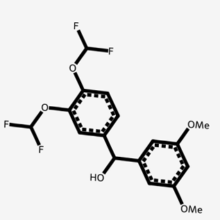 COc1cc(OC)cc(C(O)c2ccc(OC(F)F)c(OC(F)F)c2)c1